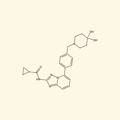 O=C(Nc1nc2cccc(-c3ccc(CN4CCS(O)(O)CC4)cc3)n2n1)C1CC1